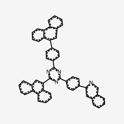 c1ccc2cc(-c3ccc(-c4nc(-c5ccc(-c6cc7ccccc7c7ccccc67)cc5)nc(-c5cc6ccccc6c6ccccc56)n4)cc3)ncc2c1